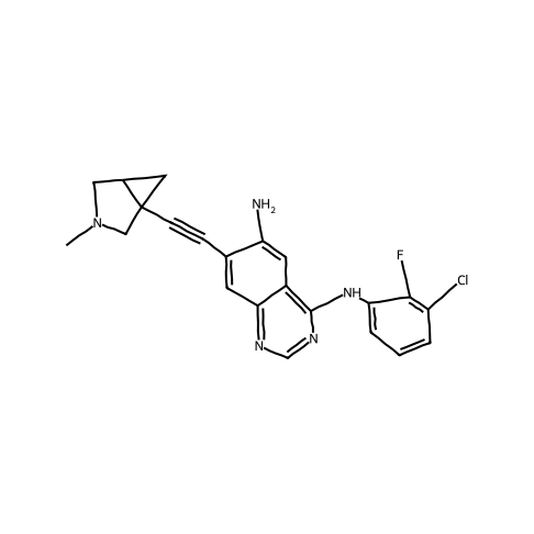 CN1CC2CC2(C#Cc2cc3ncnc(Nc4cccc(Cl)c4F)c3cc2N)C1